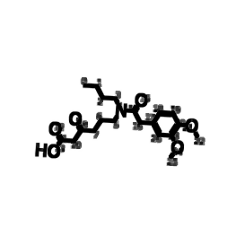 CCCCN(CCCC(=O)CC(=O)O)C(=O)Cc1ccc(OC)c(OC)c1